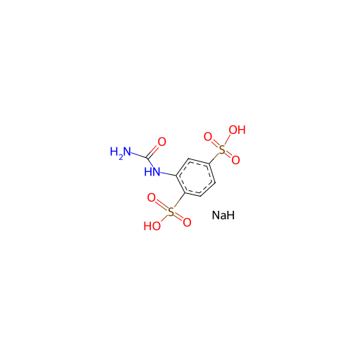 NC(=O)Nc1cc(S(=O)(=O)O)ccc1S(=O)(=O)O.[NaH]